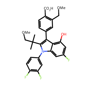 COCc1cc(-c2c(C(C)(C)COC)n(-c3ccc(F)c(F)c3)c3cc(F)cc(O)c23)ccc1C(=O)O